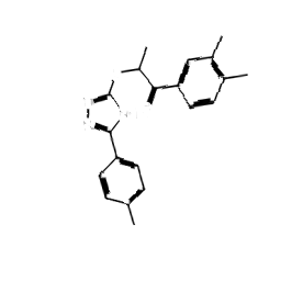 Cc1ccc(-c2nnc(SC(C)C(=O)c3ccc(C)c(C)c3)[nH]2)cc1